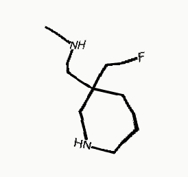 CNCC1(CF)CCCNC1